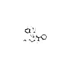 CCOC(=O)Cc1nc(S/C(=N/N)N(N)c2ccccc2)c2c3c(sc2n1)CCCC3